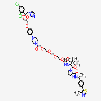 Cc1ncsc1-c1ccc(C(C)NC(=O)C2CCCN2C(=O)C(NC(=O)COCCOCCOCCOCC(=O)N2CCN(c3ccc(OC[C@H]4CO[C@](Cn5ccnc5)(c5ccc(Cl)cc5Cl)O4)cc3)CC2)C(C)(C)C)cc1